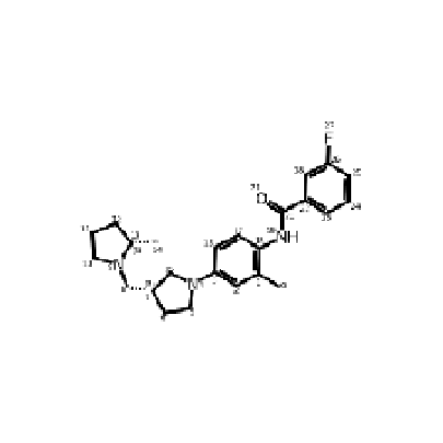 Cc1cc(N2CC[C@H](CN3CCC[C@@H]3C)C2)ccc1NC(=O)c1cccc(F)c1